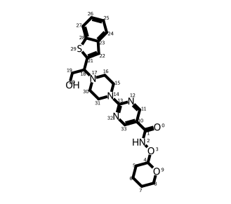 O=C(NOC1CCCCO1)c1cnc(N2CCN(C(CO)c3cc4ccccc4s3)CC2)nc1